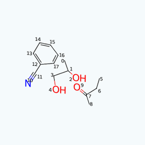 CC(O)CO.CCC(C)=O.N#Cc1ccccc1